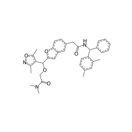 Cc1ccc(C(NC(=O)Cc2ccc3oc(C(OCC(=O)N(C)C)c4c(C)noc4C)cc3c2)c2ccccc2)c(C)c1